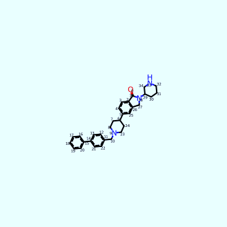 O=C1c2ccc(C3CCN(Cc4ccc(-c5ccccc5)cc4)CC3)cc2CN1C1CCCNC1